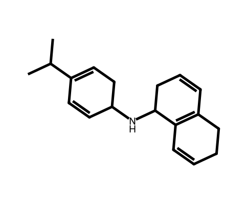 CC(C)C1=CCC(NC2CC=CC3=C2C=CCC3)C=C1